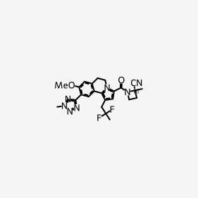 COc1cc2c(cc1-c1nnn(C)n1)-c1c(CC(C)(F)F)cc(C(=O)N3CC[C@]3(C)C#N)n1CC2